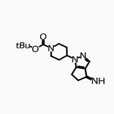 CC(C)(C)OC(=O)N1CCC(n2ncc3c2CCC3=N)CC1